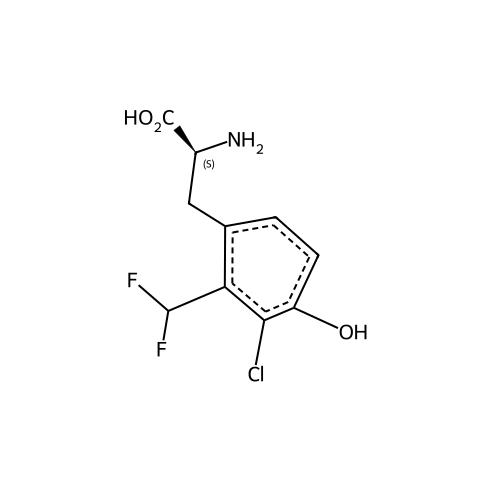 N[C@@H](Cc1ccc(O)c(Cl)c1C(F)F)C(=O)O